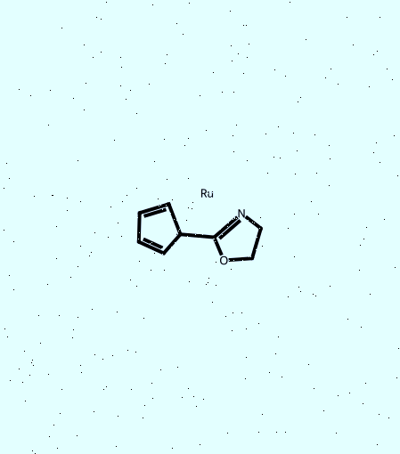 C1=C[C](C2=NCCO2)C=C1.[Ru]